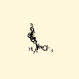 CCCN(CCC)[C@@H]1Cc2ccc(CS(=O)(=O)c3ccc(Br)cc3)cc2C1